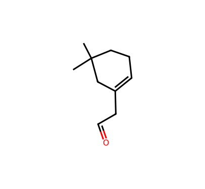 CC1(C)CCC=C(CC=O)C1